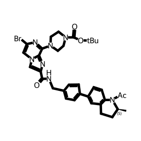 CC(=O)N1c2ccc(-c3ccc(CNC(=O)c4cn5cc(Br)nc(N6CCN(C(=O)OC(C)(C)C)CC6)c5n4)cc3)cc2CC[C@@H]1C